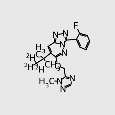 [2H]C([2H])([2H])C(C)(C)c1cc2nnc(-c3ccccc3F)n2nc1OCc1ncnn1C